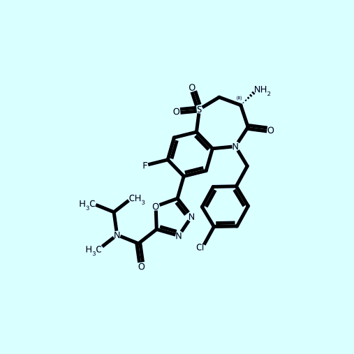 CC(C)N(C)C(=O)c1nnc(-c2cc3c(cc2F)S(=O)(=O)C[C@H](N)C(=O)N3Cc2ccc(Cl)cc2)o1